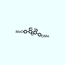 COc1ccc(-c2cc3oc4cc(-c5ccc(OC)cc5)c5ccsc5c4c3c3sccc23)cc1